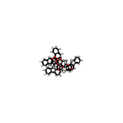 CC1C/C=C(c2c(-n3c4cc5ccccc5cc4c4c5ccccc5ccc43)ccc3oc4ccccc4c23)/N=C(c2cccc3c2sc2ccccc23)\N=C/1c1cccc2c3ccccc3n(-c3ccccc3)c12